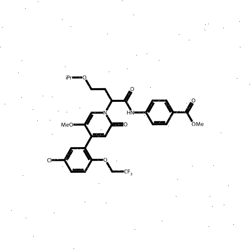 COC(=O)c1ccc(NC(=O)C(CCOC(C)C)n2cc(OC)c(-c3cc(Cl)ccc3OCC(F)(F)F)cc2=O)cc1